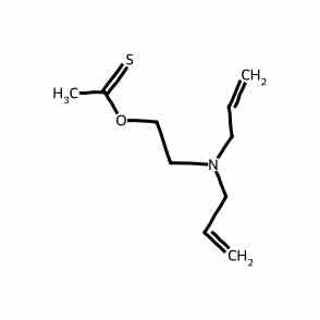 C=CCN(CC=C)CCOC(C)=S